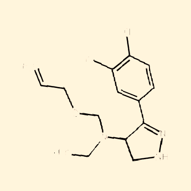 C=CCOCN(CC)C1CNN=C1c1ccc(Cl)c(Cl)c1